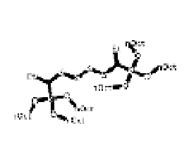 CCCCCCCCO[Si](OCCCCCCCC)(OCCCCCCCC)C(CC)SSSSC(CC)[Si](OCCCCCCCC)(OCCCCCCCC)OCCCCCCCC